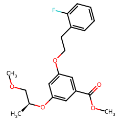 COC[C@H](C)Oc1cc(OCCc2ccccc2F)cc(C(=O)OC)c1